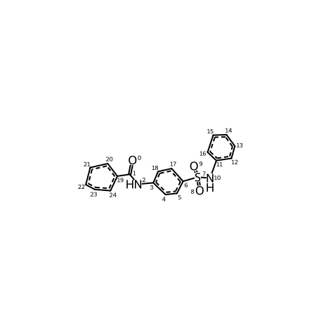 O=C(Nc1ccc(S(=O)(=O)Nc2ccccc2)cc1)c1ccccc1